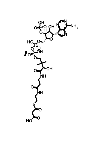 C=C.CC(C)(COP(=O)(O)OP(=O)(O)OC[C@H]1O[C@@H](n2cnc3c(N)ncnc32)[C@H](O)[C@@H]1OP(=O)(O)O)C(O)C(=O)NCCC(=O)NCCSC(=O)CC(=O)O